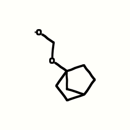 [O]COC12CCC(CC1)C2